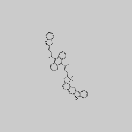 C/C(=C\C=C1/Cc2ccccc2S1)c1c2ccccc2c(/C(C)=C/C=C2\Cc3ccc4cc5sc6ccccc6c5cc4c3C2(C)C)c2ccccc12